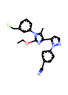 CCOc1nc(-c2ccnn2-c2ccc(C#N)cc2)c(C)n1-c1cccc(CF)c1